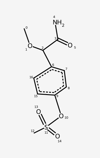 COC(C(N)=O)c1ccc(OS(C)(=O)=O)cc1